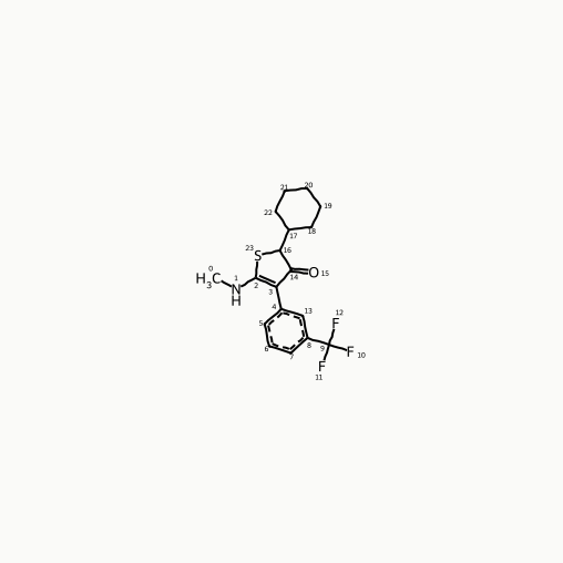 CNC1=C(c2cccc(C(F)(F)F)c2)C(=O)C(C2CCCCC2)S1